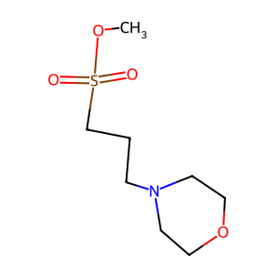 COS(=O)(=O)CCCN1CCOCC1